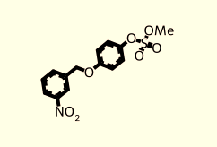 COS(=O)(=O)Oc1ccc(OCc2cccc([N+](=O)[O-])c2)cc1